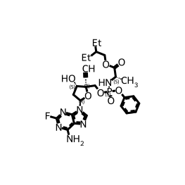 C#C[C@]1(CO[P@@](=O)(N[C@@H](C)C(=O)OCC(CC)CC)Oc2ccccc2)O[C@@H](n2cnc3c(N)nc(F)nc32)C[C@@H]1O